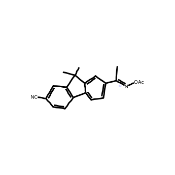 CC(=O)O/N=C(\C)c1ccc2c(c1)C(C)(C)c1cc(C#N)ccc1-2